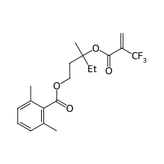 C=C(C(=O)OC(C)(CC)CCOC(=O)c1c(C)cccc1C)C(F)(F)F